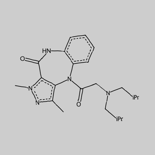 Cc1nn(C)c2c1N(C(=O)CN(CC(C)C)CC(C)C)c1ccccc1NC2=O